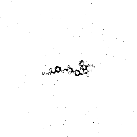 CCCCOc1nc(N)c2[nH]c(=O)n(CC3CCN(C(=O)CN(C)CCOc4cccc(CC(=O)OC)c4)CC3)c2n1